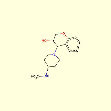 O=C(O)NC1CCN(C2c3ccccc3OCC2O)CC1